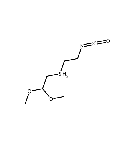 COC(C[SiH2]CCN=C=O)OC